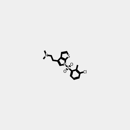 Cc1c(Cl)cccc1S(=O)(=O)n1cc(CCN(C)C)c2ccsc21